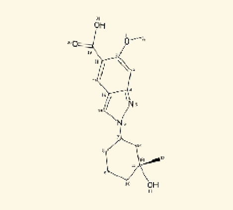 COc1cc2nn(C3CCC[C@@](C)(O)C3)cc2cc1C(=O)O